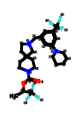 CC(OC(=O)N1CCC2(CCN(Cc3cc(N4CCCCC4)cc(C(F)(F)F)c3)C2)CC1)C(F)(F)F